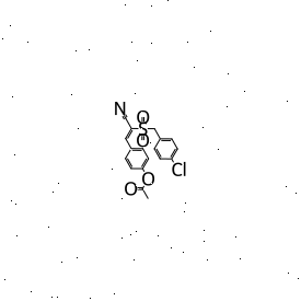 CC(=O)Oc1ccc(C=C(C#N)S(=O)(=O)Cc2ccc(Cl)cc2)cc1